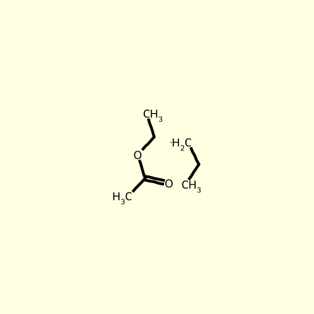 CCOC(C)=O.[CH2]CC